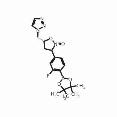 CC1(C)OB(c2ccc(C3C[C@H](Cn4ccnn4)O[N+]3=O)cc2F)OC1(C)C